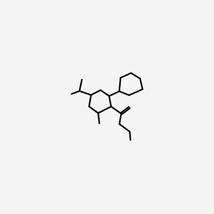 C=C(CCC)C1C(C)CC(C(C)C)CC1C1CCCCC1